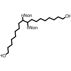 CCCCCCCCCC(CCCCCCCCO)C(CCCCCCCCC)CCCCCCCCO